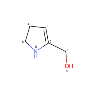 OCC1=CCCN1